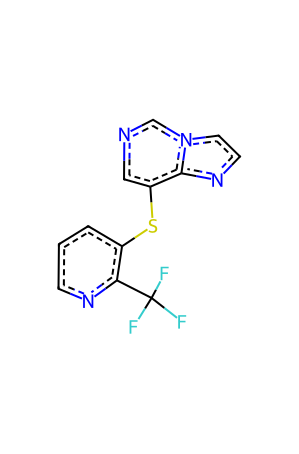 FC(F)(F)c1ncccc1Sc1cncn2ccnc12